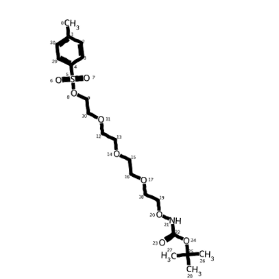 Cc1ccc(S(=O)(=O)OCCOCCOCCOCCONC(=O)OC(C)(C)C)cc1